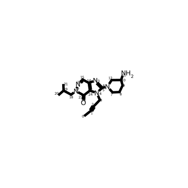 CC#CCn1c(N2CCCC(N)C2)nc2cnn(CC(C)C)c(=O)c21